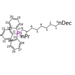 CCCCCCCCCCCCCCCCCCP(CCC)(c1ccccc1)(c1ccccc1)c1ccccc1